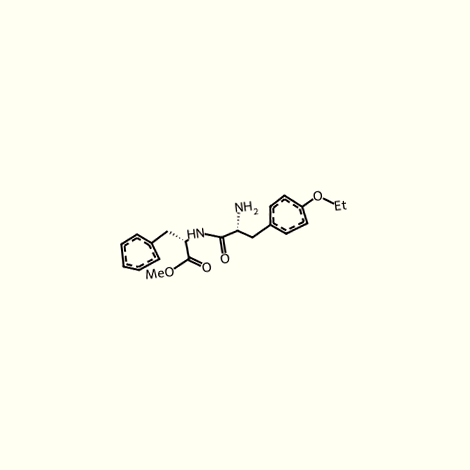 CCOc1ccc(C[C@@H](N)C(=O)N[C@@H](Cc2ccccc2)C(=O)OC)cc1